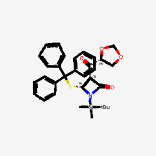 CC(C)(C)[Si](C)(C)N1C(=O)[C@H](C(=O)[C@H]2COCO2)[C@H]1SC(c1ccccc1)(c1ccccc1)c1ccccc1